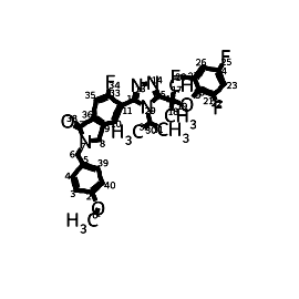 COc1ccc(CN2Cc3cc(-c4nnc(C(C)(C)Oc5c(F)cc(F)cc5F)n4C(C)C)c(F)cc3C2=O)cc1